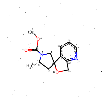 C[C@H]1CC2(CN1C(=O)OC(C)(C)C)OCc1ncccc12